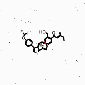 CC/C(C)=C/C(=O)c1ccc(N/C2=C\C/C=C\C=C3\C(c4ccc(OC(F)F)cc4)=CN=C23)cc1CO